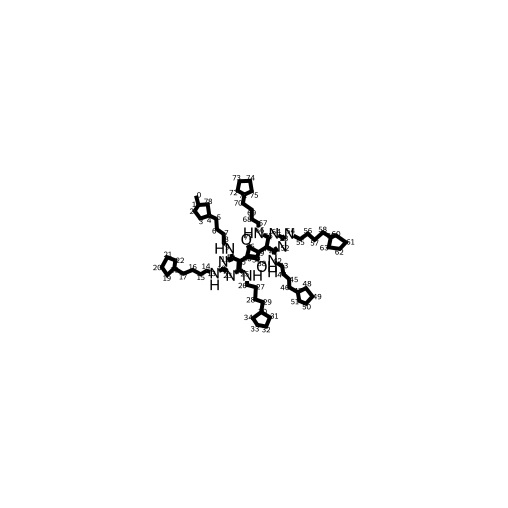 CC1CCC(CCCCNc2nc(NCCCCC3CCCC3)nc(NCCCCC3CCCC3)c2C2=C(O)C(C3C(NCCCCC4CCCC4)=NC(=NCCCCC4CCCC4)N=C3NCCCCC3CCCC3)C2=O)C1